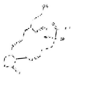 C=C[C@@H](C/C=C/[C@H]1CCC(=O)[C@@H]1C/C=C\CCC(O)(O)C(=O)O)CCC